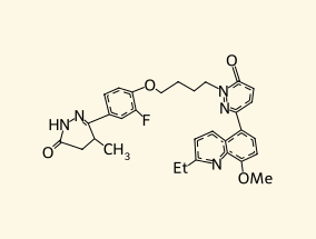 CCc1ccc2c(-c3ccc(=O)n(CCCCOc4ccc(C5=NNC(=O)CC5C)cc4F)n3)ccc(OC)c2n1